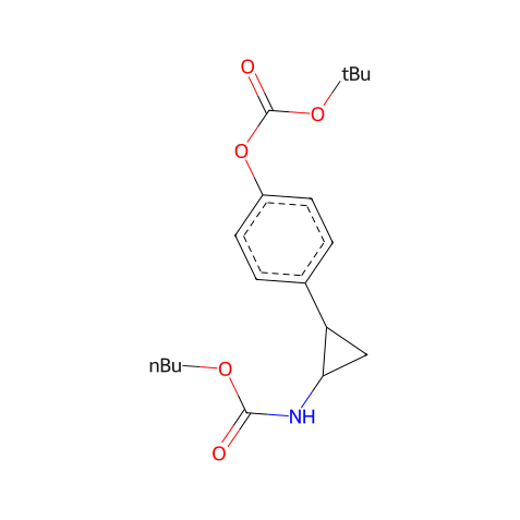 CCCCOC(=O)NC1CC1c1ccc(OC(=O)OC(C)(C)C)cc1